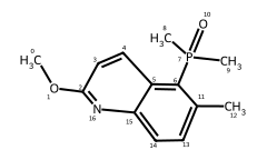 COc1ccc2c(P(C)(C)=O)c(C)ccc2n1